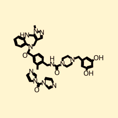 Cc1cc(C(=O)N2Cc3cnn(C)c3Nc3ccccc32)ccc1CNC(=O)N1CCN(Cc2cc(O)cc(O)c2)CC1.O=C(n1ccnc1)n1ccnc1